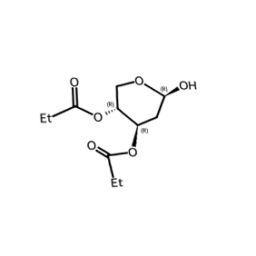 CCC(=O)O[C@@H]1CO[C@@H](O)C[C@H]1OC(=O)CC